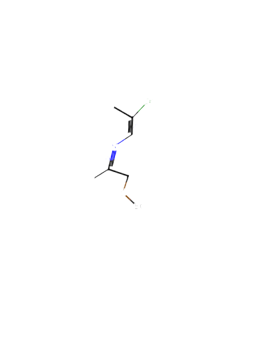 CCSC/C(C)=N\C=C(/C)Br